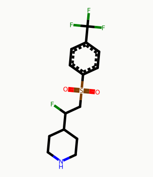 O=S(=O)(CC(F)C1CCNCC1)c1ccc(C(F)(F)F)cc1